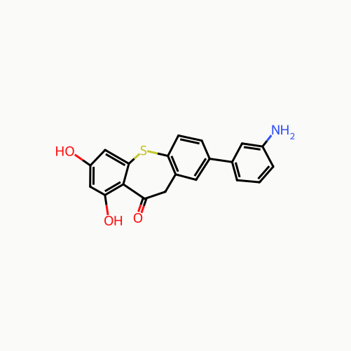 Nc1cccc(-c2ccc3c(c2)CC(=O)c2c(O)cc(O)cc2S3)c1